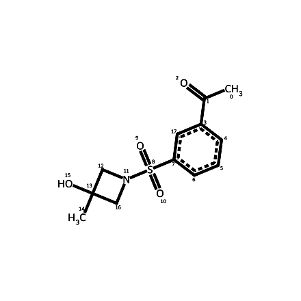 CC(=O)c1cccc(S(=O)(=O)N2CC(C)(O)C2)c1